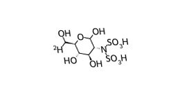 [2H]C(O)[C@H]1OC(O)[C@H](N(S(=O)(=O)O)S(=O)(=O)O)[C@@H](O)[C@@H]1O